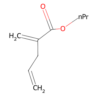 C=CCC(=C)C(=O)OCCC